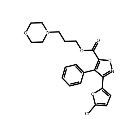 O=C(OCCCN1CCOCC1)c1onc(-c2ccc(Cl)o2)c1-c1ccccc1